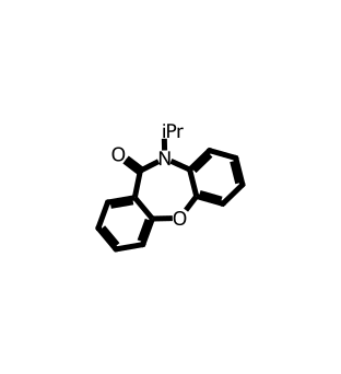 CC(C)N1C(=O)c2ccccc2Oc2ccccc21